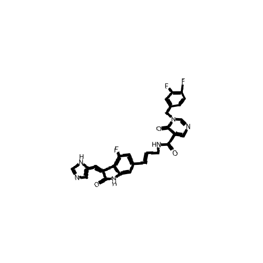 O=C1Nc2cc(/C=C/CNC(=O)c3cncn(Cc4ccc(F)c(F)c4)c3=O)cc(F)c2C1=Cc1cnc[nH]1